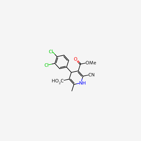 COC(=O)C1=C(C#N)NC(C)=C(C(=O)O)C1c1ccc(Cl)c(Cl)c1